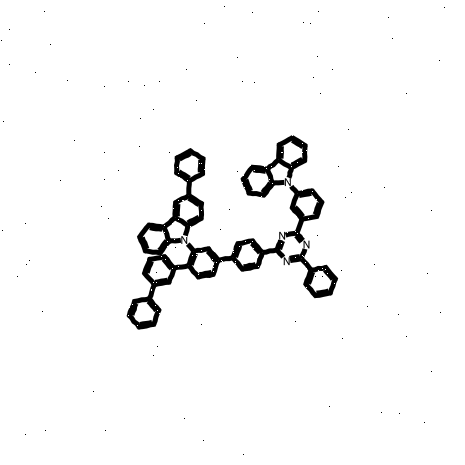 c1ccc(-c2cccc(-c3ccc(-c4ccc(-c5nc(-c6ccccc6)nc(-c6cccc(-n7c8ccccc8c8ccccc87)c6)n5)cc4)cc3-n3c4ccccc4c4cc(-c5ccccc5)ccc43)c2)cc1